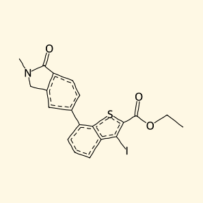 CCOC(=O)c1sc2c(-c3ccc4c(c3)CN(C)C4=O)cccc2c1I